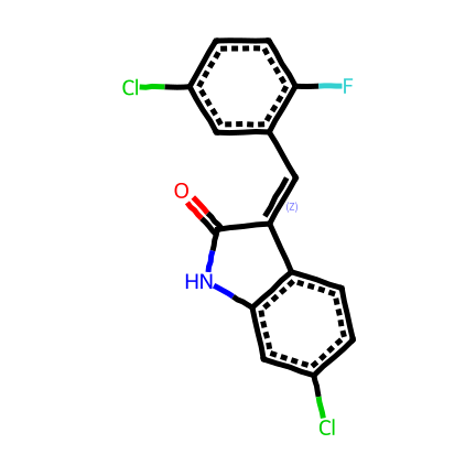 O=C1Nc2cc(Cl)ccc2/C1=C/c1cc(Cl)ccc1F